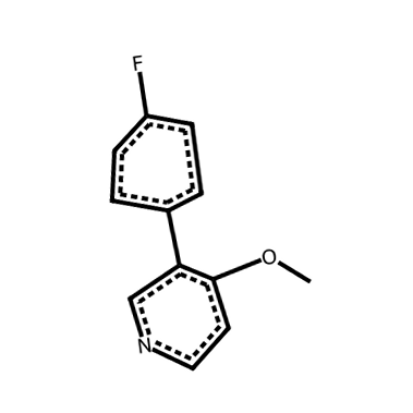 COc1ccncc1-c1ccc(F)cc1